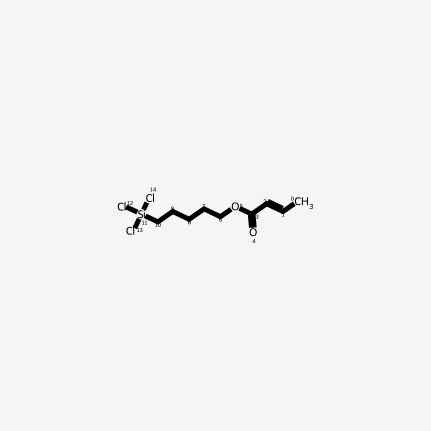 CC=CC(=O)OCCCCC[Si](Cl)(Cl)Cl